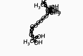 CCC(=C(c1ccc(O)cc1)c1ccc(OCCN2CCN(C(=O)CCOCCOCCOCCOCCOCCC(=O)N[C@H](C(=O)N3C[C@H](O)C[C@H]3C(=O)NCc3ccc(-c4scnc4C)cc3)C(C)(C)C)CC2)cc1)c1ccc(O)cc1